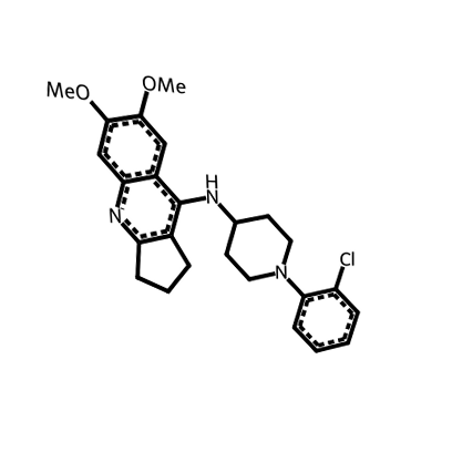 COc1cc2nc3c(c(NC4CCN(c5ccccc5Cl)CC4)c2cc1OC)CCC3